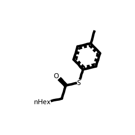 CCCCCCCC(=O)Sc1ccc(C)cc1